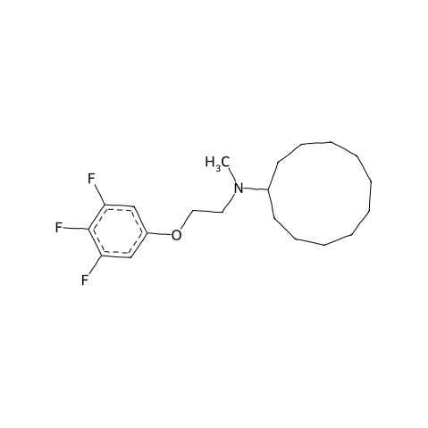 CN(CCOc1cc(F)c(F)c(F)c1)C1CCCCCCCCCC1